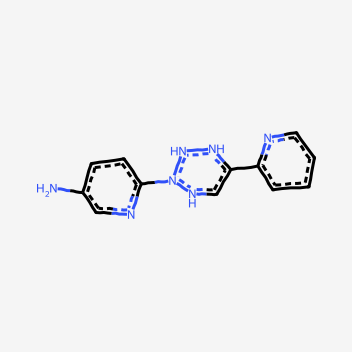 Nc1ccc(-n2[nH]cc(-c3ccccn3)[nH][nH]2)nc1